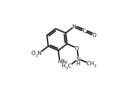 CCCCc1c([N+](=O)[O-])ccc(N=C=O)c1O[SiH](C)C